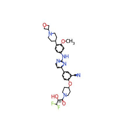 COc1cc(Nc2nccc(-c3ccc(OC4CCN(C(=O)[C@H](O)C(F)F)CC4)c(C#N)c3)n2)ccc1C1CCN(C2COC2)CC1